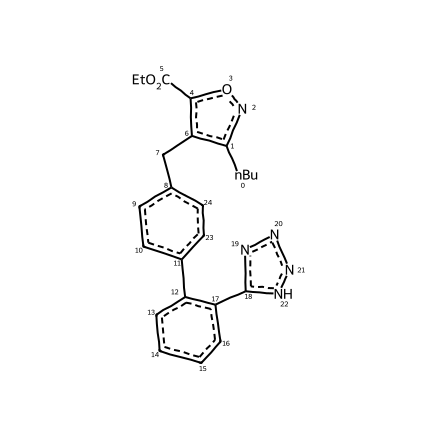 CCCCc1noc(C(=O)OCC)c1Cc1ccc(-c2ccccc2-c2nnn[nH]2)cc1